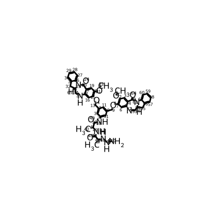 COc1cc2c(cc1OCc1cc(COc3cc4c(cc3OC)C(=O)N3c5ccccc5C[C@H]3CN4)cc(NC(=O)[C@H](C)NC(=O)[C@H](C)NNN)c1)N=C[C@@H]1Cc3ccccc3N1C2=O